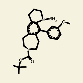 BN1CCCc2cc3c(c(-c4cccc(OC)c4)c21)CCN(C(=O)OC(C)(C)C)CC3